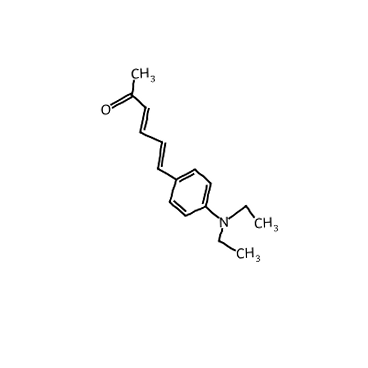 CCN(CC)c1ccc(C=CC=CC(C)=O)cc1